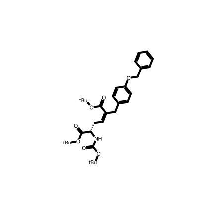 CC(C)(C)OC(=O)N[C@@H](CC=C(Cc1ccc(OCc2ccccc2)cc1)C(=O)OC(C)(C)C)C(=O)OC(C)(C)C